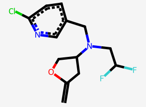 C=C1CC(N(Cc2ccc(Cl)nc2)CC(F)F)CO1